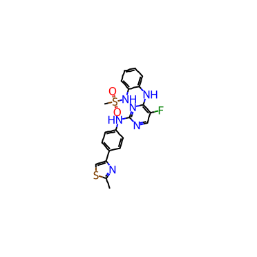 Cc1nc(-c2ccc(Nc3ncc(F)c(Nc4ccccc4NS(C)(=O)=O)n3)cc2)cs1